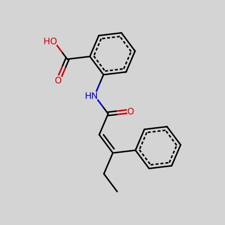 CC/C(=C/C(=O)Nc1ccccc1C(=O)O)c1ccccc1